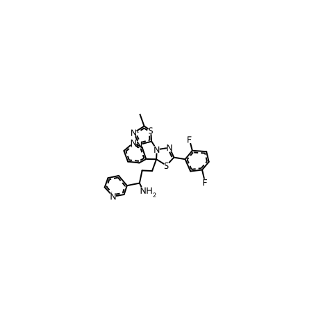 Cc1nnc(N2N=C(c3cc(F)ccc3F)SC2(CCC(N)c2cccnc2)c2cccnc2)s1